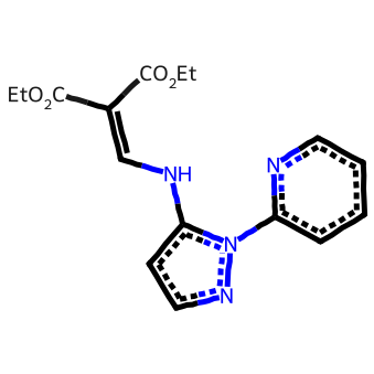 CCOC(=O)C(=CNc1ccnn1-c1ccccn1)C(=O)OCC